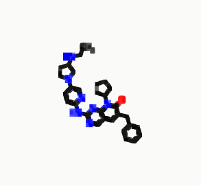 CCNC1CCN(c2ccc(Nc3ncc4cc(Cc5ccccc5)c(=O)n(C5CCCC5)c4n3)nc2)C1